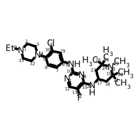 CCN1CCN(c2ccc(Nc3ncc(F)c(NC4CC(C)(C)N(C)C(C)(C)C4)n3)cc2Cl)CC1